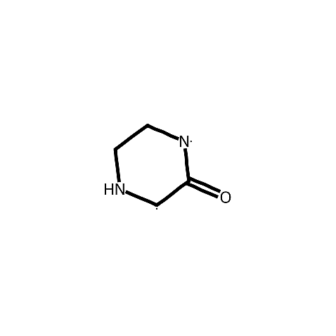 O=C1[CH]NCC[N]1